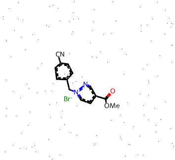 COC(=O)c1cc[n+](Cc2ccc(C#N)cc2)nc1.[Br-]